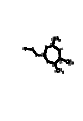 BC1C[C@@H](CCF)CC(C)N(C)C1